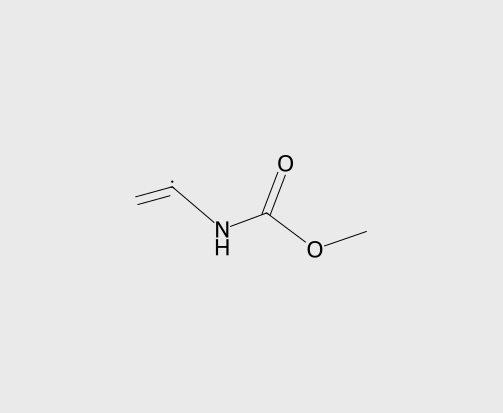 C=[C]NC(=O)OC